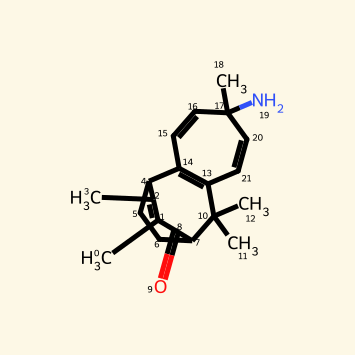 CC1=C(C)C2CCC(C1=O)C(C)(C)C1=C2C=CC(C)(N)C=C1